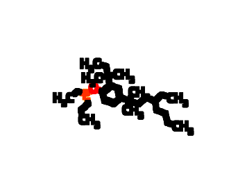 CCCCC(CC)CCC(C)(C)c1ccc(OP(CC)CCC)c(C(C)(C)CC)c1